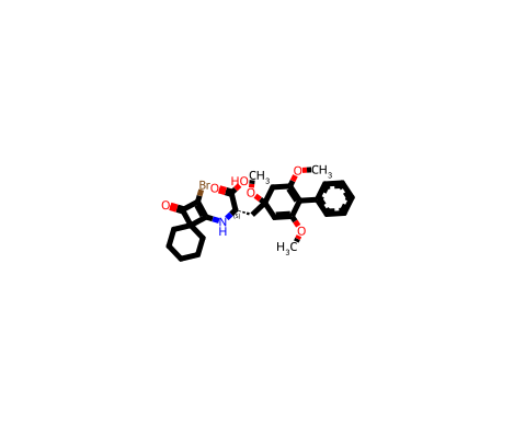 COC1=CC(C[C@H](NC2=C(Br)C(=O)C23CCCCC3)C(=O)O)(OC)CC(OC)=C1c1ccccc1